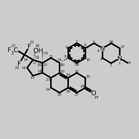 CN1CCN(Cc2ccc([C@H]3C[C@@]4(C)C(CC[C@@]4(O)C(F)(F)C(F)(F)F)C4CCC5=CC(=O)CCC5=C43)cc2)CC1